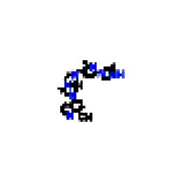 Cc1nc(N2CCN[C@H](C)C2)ccc1CN1CCN2[C@@H](C1)CN(c1ccc(C#N)c3ncccc13)C[C@H]2C